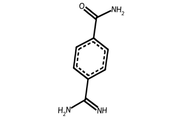 N=C(N)c1ccc(C(N)=O)cc1